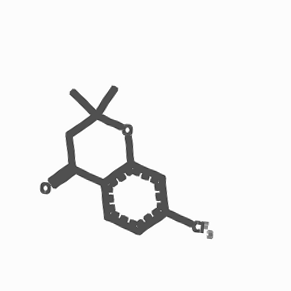 CC1(C)CC(=O)c2ccc(C(F)(F)F)cc2O1